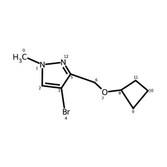 Cn1cc(Br)c(COC2CCC2)n1